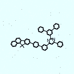 CC1(C)c2cc(-c3ccc(-c4cccc(-c5cc(-c6ccccc6)nc(-c6cc(-c7ccccc7)cc(-c7ccccc7)c6)n5)c4)cc3)ccc2-c2ccc3ccccc3c21